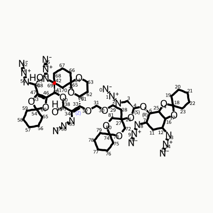 [N-]=[N+]=NC[C@@H](O[C@@H]1C(N=[N+]=[N-])CC(N=[N+]=[N-])C2OC3(CCCCC3)OC21)OC1(CCOCO/C(=C(\N=[N+]=[N-])[C@H](O)O[C@H](CN=[N+]=[N-])C2=C([C@@H](O)N=[N+]=[N-])OC3(CCCCC3)O2)[C@H]2CCOC3(CCCCC3)O2)COC2(CCCCC2)OC1